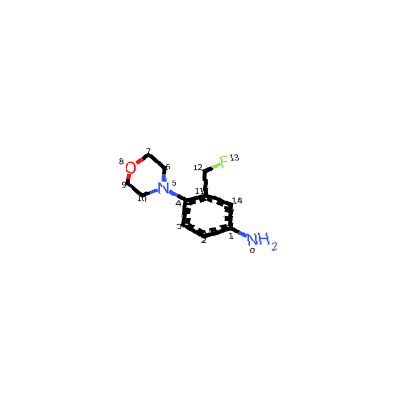 Nc1ccc(N2CCOCC2)c(CF)c1